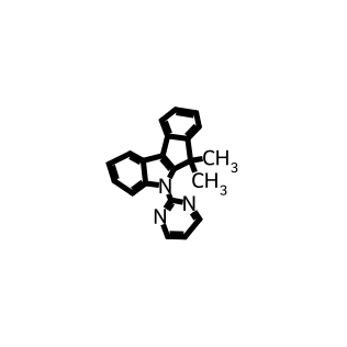 CC1(C)c2ccccc2-c2c1n(-c1ncccn1)c1ccccc21